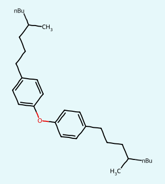 CCCCC(C)CCCc1ccc(Oc2ccc(CCCC(C)CCCC)cc2)cc1